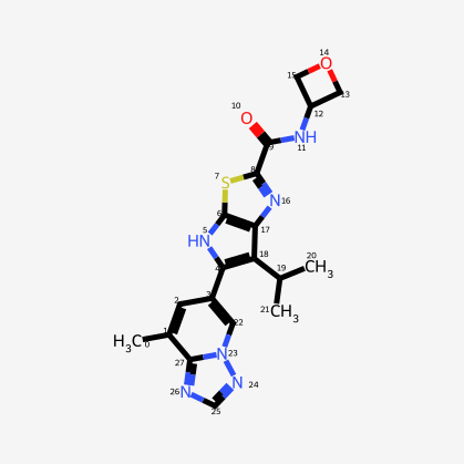 Cc1cc(-c2[nH]c3sc(C(=O)NC4COC4)nc3c2C(C)C)cn2ncnc12